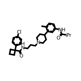 Cc1ccc(NC(=O)C(C)C)cc1C1CCN(CCCNC(=O)C2(c3ccc(Cl)cc3)CCC2)CC1